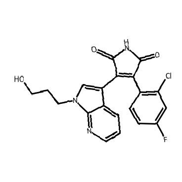 O=C1NC(=O)C(c2cn(CCCO)c3ncccc23)=C1c1ccc(F)cc1Cl